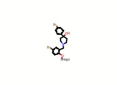 CCCCCCCOc1ccc(Br)cc1CN1CCC(O)(c2ccc(Br)cc2)CC1